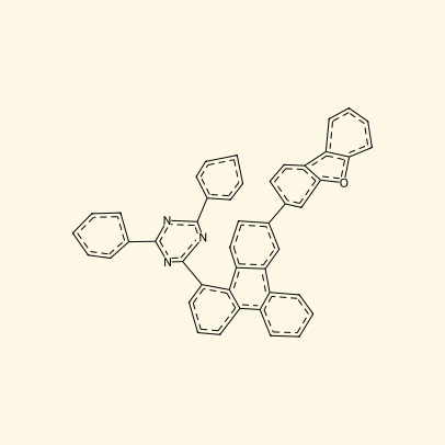 c1ccc(-c2nc(-c3ccccc3)nc(-c3cccc4c5ccccc5c5cc(-c6ccc7c(c6)oc6ccccc67)ccc5c34)n2)cc1